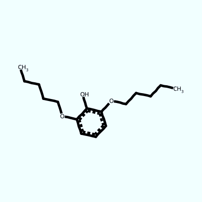 CCCCCOc1cccc(OCCCCC)c1O